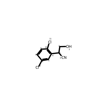 N#CC(CO)c1cc(Cl)ccc1Cl